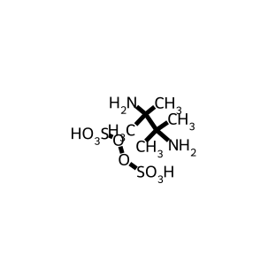 CC(C)(N)C(C)(C)N.O=S(=O)(O)OOS(=O)(=O)O